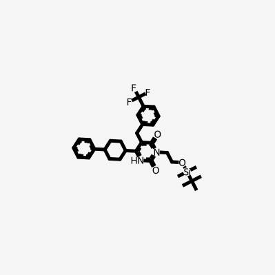 CC(C)(C)[Si](C)(C)OCCn1c(=O)[nH]c(C2CCC(c3ccccc3)CC2)c(Cc2cccc(C(F)(F)F)c2)c1=O